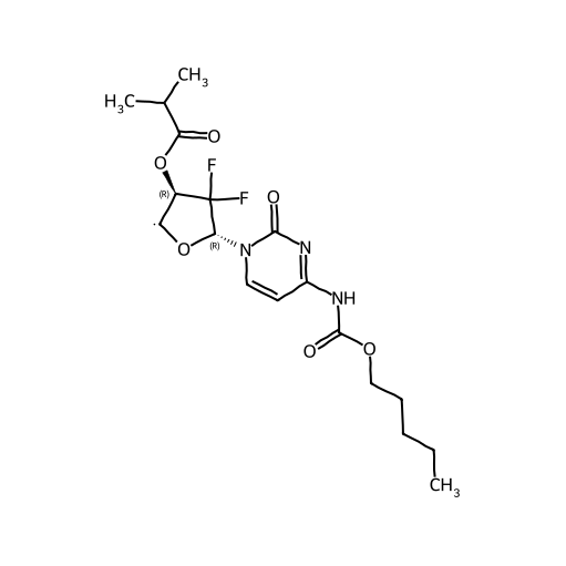 CCCCCOC(=O)Nc1ccn([C@@H]2O[CH][C@@H](OC(=O)C(C)C)C2(F)F)c(=O)n1